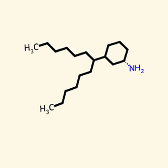 CCCCCCC(CCCCCC)C1CCC[C@H](N)C1